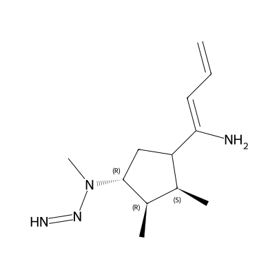 C=CC=C(N)C1C[C@@H](N(C)N=N)[C@H](C)[C@@H]1C